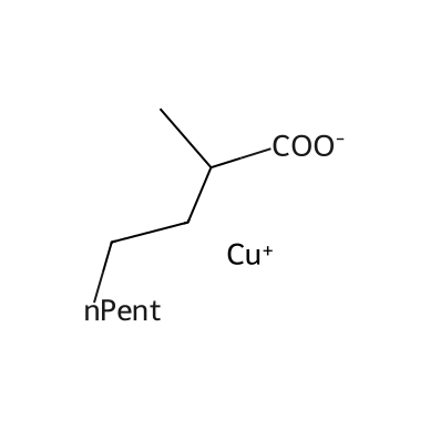 CCCCCCCC(C)C(=O)[O-].[Cu+]